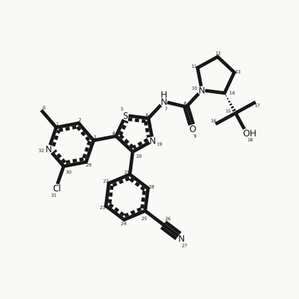 Cc1cc(-c2sc(NC(=O)N3CCC[C@@H]3C(C)(C)O)nc2-c2cccc(C#N)c2)cc(Cl)n1